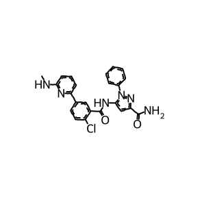 CNc1cccc(-c2ccc(Cl)c(C(=O)Nc3cc(C(N)=O)nn3-c3ccccc3)c2)n1